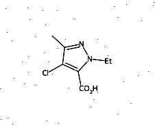 CCn1nc(C)c(Cl)c1C(=O)O